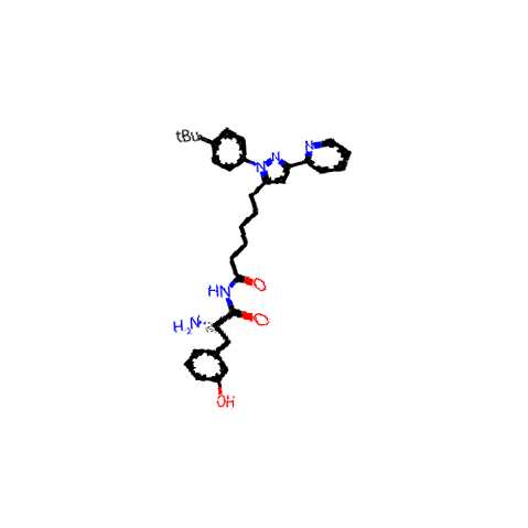 CC(C)(C)c1ccc(-n2nc(-c3ccccn3)cc2CCCCCC(=O)NC(=O)[C@@H](N)Cc2cccc(O)c2)cc1